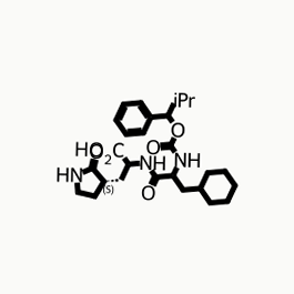 CC(C)C(OC(=O)NC(CC1CCCCC1)C(=O)NC(C[C@@H]1CCNC1=O)C(=O)O)c1ccccc1